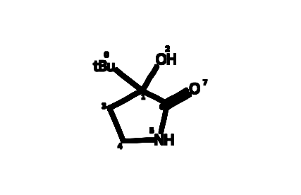 CC(C)(C)C1(O)CCNC1=O